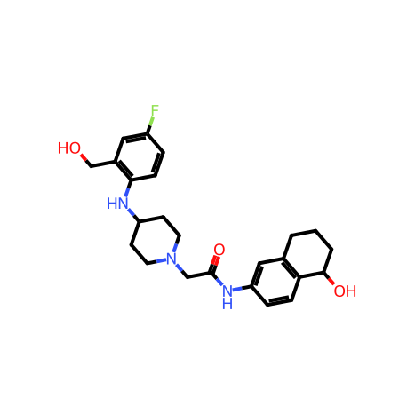 O=C(CN1CCC(Nc2ccc(F)cc2CO)CC1)Nc1ccc2c(c1)CCCC2O